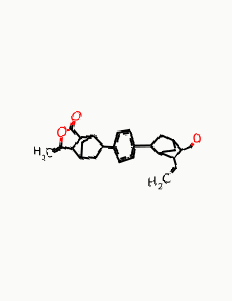 C=CC1C(C=O)C2CC(c3ccc(C4CC5CC4C4C(=O)OC(=C)C54)cc3)C1C2